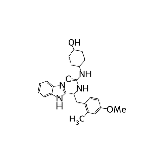 COc1ccc(CC(NC(=O)NC2CCC(O)CC2)c2nc3ccccc3[nH]2)c(C)c1